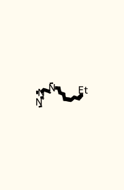 CC/C=C\C/C=C\CCCN(C)CCN(C)C=NC